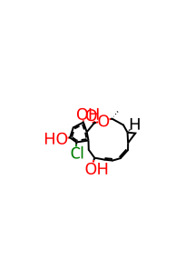 C[C@@H]1C[C@H]2CC2/C=C\C=C\C(O)Cc2c(Cl)c(O)cc(O)c2C(=O)O1